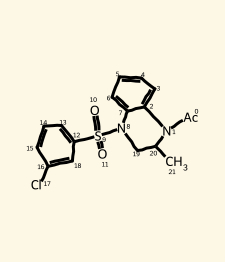 CC(=O)N1c2ccccc2N(S(=O)(=O)c2cccc(Cl)c2)CC1C